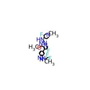 COc1nc(N[C@H]2CCN(C)C[C@H]2F)nn2cc(F)c(-c3ccc4nnn([C@H](C)C(F)F)c4c3)c12